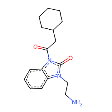 NCCn1c(=O)n(C(=O)CC2CCCCC2)c2ccccc21